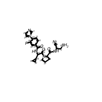 BCC(C#N)NC(=O)C1CCCN1C(=O)C(NC(=O)c1ccc(-n2ccnc2)c(F)c1)C1CC1